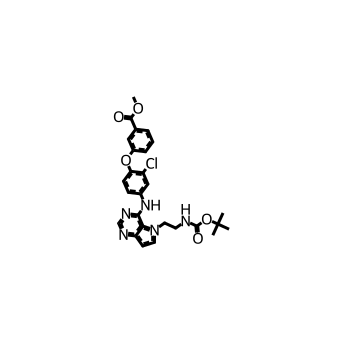 COC(=O)c1cccc(Oc2ccc(Nc3ncnc4ccn(CCNC(=O)OC(C)(C)C)c34)cc2Cl)c1